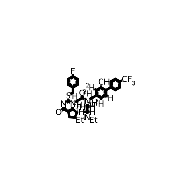 [2H]c1c([2H])c(C([2H])([2H])N(C(=O)C([2H])([2H])n2c(SCc3ccc(F)cc3)nc(=O)c3c2CCC3)C([2H])([2H])C([2H])([2H])N(CC)CC)c([2H])c(C)c1-c1ccc(C(F)(F)F)cc1